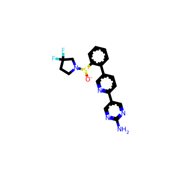 Nc1ncc(-c2ccc(-c3ccccc3[S+]([O-])N3CCC(F)(F)C3)cn2)cn1